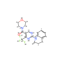 CC1CCc2ccccc2N1c1ncc(C(=O)N2CCOCC2)c(C(F)(F)F)n1